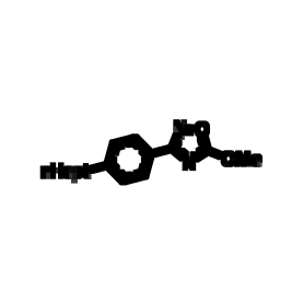 CCCCCCCc1ccc(-c2noc(OC)n2)cc1